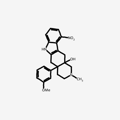 COc1cccc(C23CCN(C)CC2(O)Cc2c([nH]c4cccc([N+](=O)[O-])c24)C3)c1